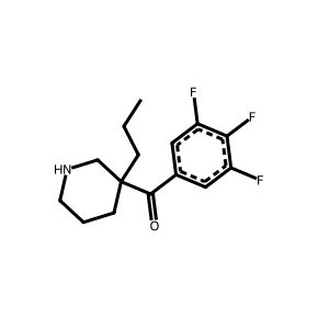 CCCC1(C(=O)c2cc(F)c(F)c(F)c2)CCCNC1